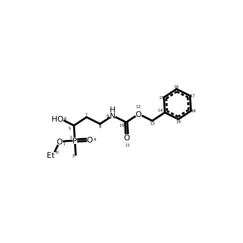 CCOP(C)(=O)C(O)CCNC(=O)OCc1ccccc1